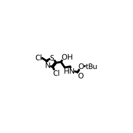 CC(C)(C)OC(=O)NCCC(O)c1sc(Cl)nc1Cl